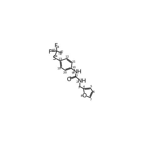 O=C(NCc1ccco1)Nc1ccc(SC(F)(F)F)cc1